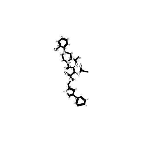 CC(=O)O[C@@H](C(=O)NCc1cc(-c2ccccc2)cs1)[C@@H](OC(C)=O)C(=O)N1CCN(c2ccccc2Cl)CC1